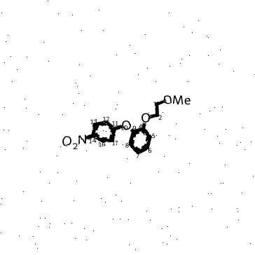 COCCOc1ccccc1Oc1ccc([N+](=O)[O-])cc1